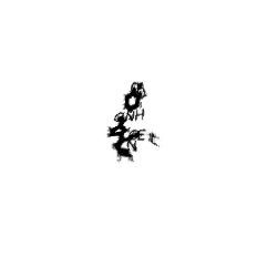 CCOc1ncccc1C1CCC(C(=O)NC2CCC3OCOC3C2)C1